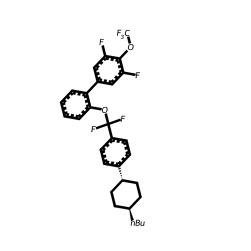 CCCC[C@H]1CC[C@H](c2ccc(C(F)(F)Oc3ccccc3-c3cc(F)c(OC(F)(F)F)c(F)c3)cc2)CC1